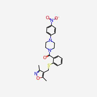 Cc1noc(C)c1CSc1ccccc1C(=O)N1CCN(c2ccc([N+](=O)[O-])cc2)CC1